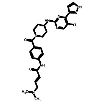 CN(C)CC=CC(=O)Nc1ccc(C(=O)N2CCC(Nc3ncc(Cl)c(-c4cc[nH]n4)n3)CC2)cc1